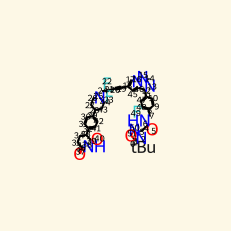 CC(C)(C)c1nc(C(=O)NCc2ccc(-c3ncnn4cc(C#CC(F)(F)CN5CCC(c6ccc(C7CCC(=O)NC7=O)cc6)CC5)cc34)cc2F)no1